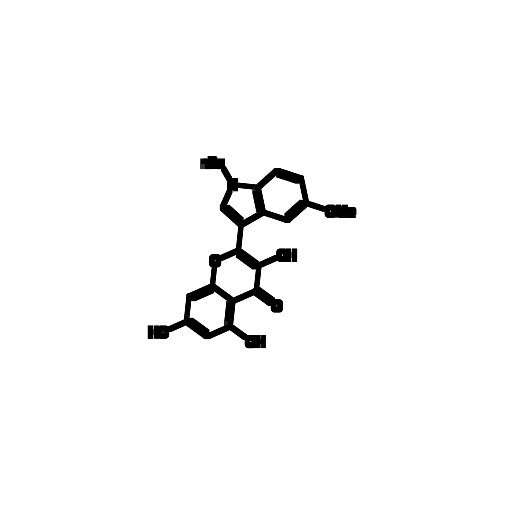 CCCCn1cc(-c2oc3cc(O)cc(O)c3c(=O)c2O)c2cc(OC)ccc21